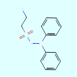 NCCS(=O)(=O)NP(c1ccccc1)c1ccccc1